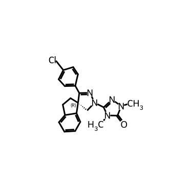 Cn1nc(N2C[C@]3(CCc4ccccc43)C(c3ccc(Cl)cc3)=N2)n(C)c1=O